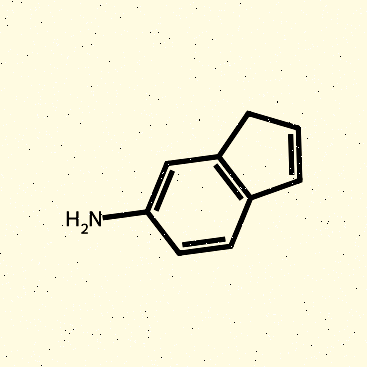 Nc1ccc2c(c1)CC=C2